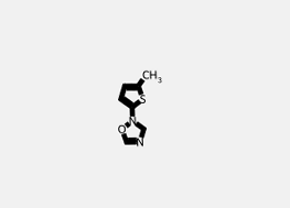 Cc1ccc(N2CN=CO2)s1